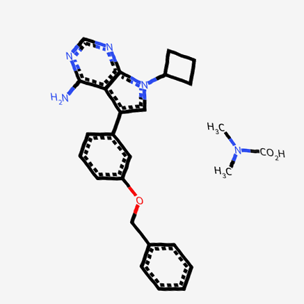 CN(C)C(=O)O.Nc1ncnc2c1c(-c1cccc(OCc3ccccc3)c1)cn2C1CCC1